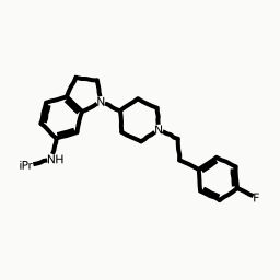 CC(C)Nc1ccc2c(c1)N(C1CCN(CCc3ccc(F)cc3)CC1)CC2